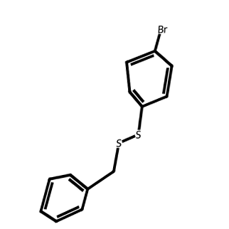 Brc1ccc(SSCc2ccccc2)cc1